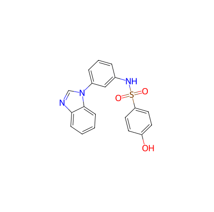 O=S(=O)(Nc1cccc(-n2cnc3ccccc32)c1)c1ccc(O)cc1